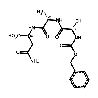 C[C@H](NC(=O)OCc1ccccc1)C(=O)N[C@@H](C)C(=O)N[C@@H](CC(N)=O)C(=O)O